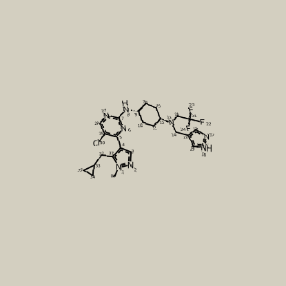 Cn1ncc(-c2nc(N[C@H]3CC[C@H](N(Cc4cn[nH]c4)CC(F)(F)F)CC3)ncc2Cl)c1CC1CC1